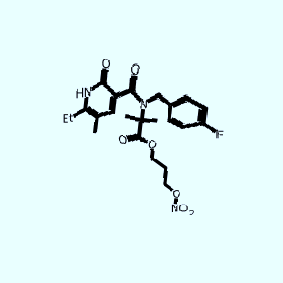 CCc1[nH]c(=O)c(C(=O)N(Cc2ccc(F)cc2)C(C)(C)C(=O)OCCCO[N+](=O)[O-])cc1C